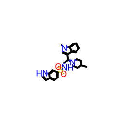 CC1CCN(C(CNS(=O)(=O)c2ccc3cc[nH]c3c2)c2cn(C)c3ccccc23)CC1